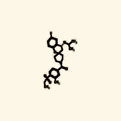 CCS(=O)(=O)c1ccc(C(=O)N2CCC3(CC2)C[C@@H](OC(C)C)c2cc(F)ccc2O3)cc1C